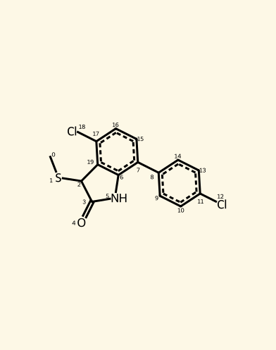 CSC1C(=O)Nc2c(-c3ccc(Cl)cc3)ccc(Cl)c21